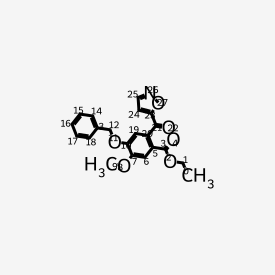 CCOC(=O)c1cc(OC)c(OCc2ccccc2)cc1C(=O)c1ccno1